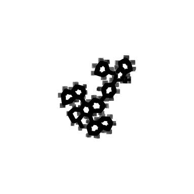 CC1C=CC=C2C(c3cccc4ccccc34)=c3cc(-c4ccc(C5Nc6ccccc6N5c5ccccc5)cc4)ccc3=C(c3cccc4ccccc34)C21